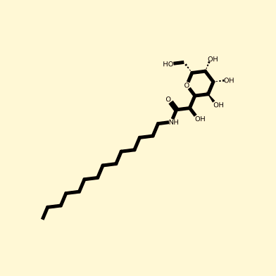 CCCCCCCCCCCCCCNC(=O)C(O)C1O[C@H](CO)[C@H](O)[C@H](O)[C@H]1O